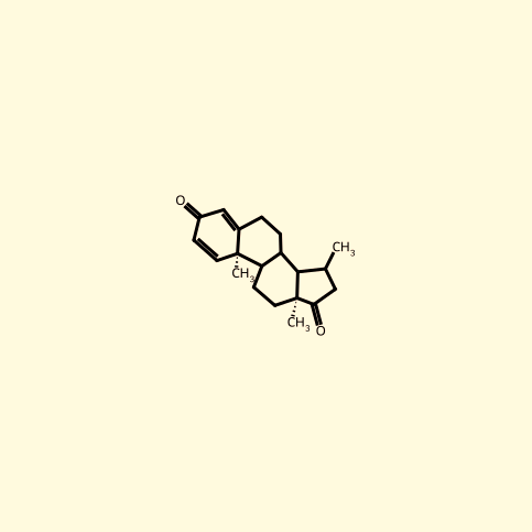 CC1CC(=O)[C@@]2(C)CCC3C(CCC4=CC(=O)C=C[C@@]43C)C12